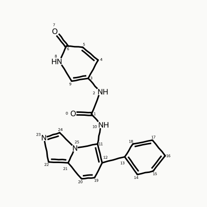 O=C(Nc1ccc(=O)[nH]c1)Nc1c(-c2ccccc2)ccc2cncn12